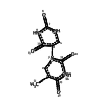 Cc1cn(-c2c[nH]c(=O)[nH]c2=O)c(=O)[nH]c1=O